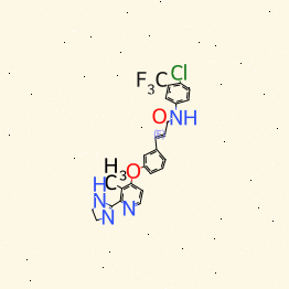 Cc1c(Oc2cccc(/C=C/C(=O)Nc3ccc(Cl)c(C(F)(F)F)c3)c2)ccnc1C1=NCCN1